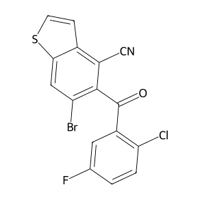 N#Cc1c(C(=O)c2cc(F)ccc2Cl)c(Br)cc2sccc12